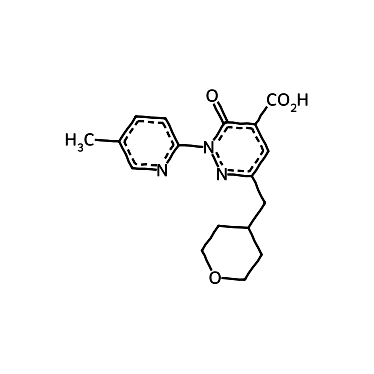 Cc1ccc(-n2nc(CC3CCOCC3)cc(C(=O)O)c2=O)nc1